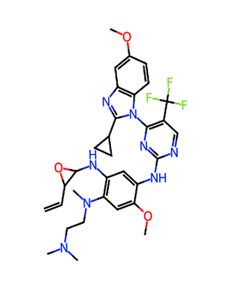 C=CC1OC1Nc1cc(Nc2ncc(C(F)(F)F)c(-n3c(C4CC4)nc4cc(OC)ccc43)n2)c(OC)cc1N(C)CCN(C)C